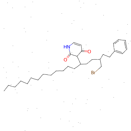 CCCCCCCCCCCCCC(CCC(CBr)CCc1ccccc1)C1C(=O)C=CNC1=O